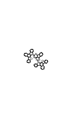 c1ccc2c(c1)-c1nc(-n3c4ccccc4c4c5ccccc5c5c6ccccc6oc5c43)nc3nc(-n4c5ccccc5c5c6ccccc6c6c7ccccc7oc6c54)nc-2c13